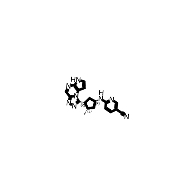 C[C@H]1C[C@@H](Nc2ccc(C#N)cn2)C[C@H]1c1nnc2cnc3[nH]ccc3n12